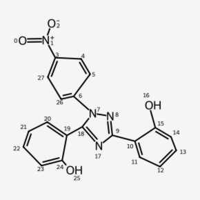 O=[N+]([O-])c1ccc(-n2nc(-c3ccccc3O)nc2-c2ccccc2O)cc1